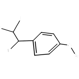 FC(F)C(F)c1ccc(OBr)cc1